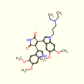 CCN(CC)CCCn1cc(C2=C(c3c[nH]c4cc(OC)c(OC)cc34)C(=O)NC2=O)c2cc(OC)c(OC)cc21